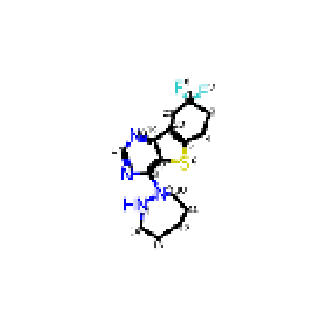 FC1(F)CCc2sc3c(N4CCCCCN4)ncnc3c2C1